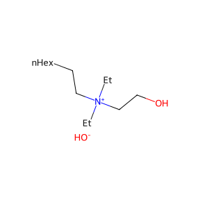 CCCCCCCC[N+](CC)(CC)CCO.[OH-]